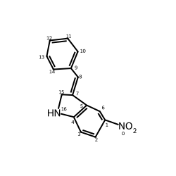 O=[N+]([O-])c1ccc2c(c1)C(=Cc1ccccc1)CN2